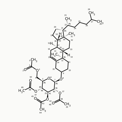 CC(=O)OC[C@H]1O[C@@H](OC2CC[C@@]3(C)C(=CC[C@H]4[C@@H]5CC[C@H]([C@H](C)CCCC(C)C)[C@@]5(C)CC[C@@H]43)C2)[C@H](OC(C)=O)[C@@H](OC(C)=O)[C@@H]1OC(C)=O